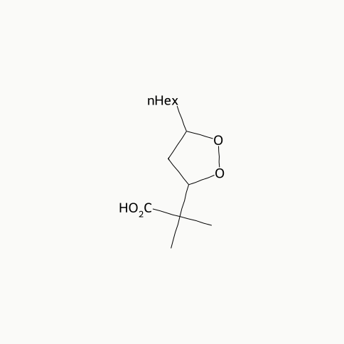 CCCCCCC1CC(C(C)(C)C(=O)O)OO1